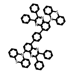 c1ccc(-c2nc3c(-c4ccc(-c5ccc(N6c7ccccc7Sc7ccccc76)c6nc(-c7ccccc7)c(-c7ccccc7)nc56)cc4)ccc(N4c5ccccc5Sc5ccccc54)c3nc2-c2ccccc2)cc1